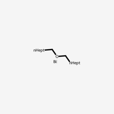 CCCCCCCCOCCCCCCCC.[Bi]